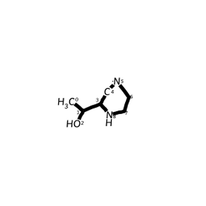 CC(O)C1C[N]CCN1